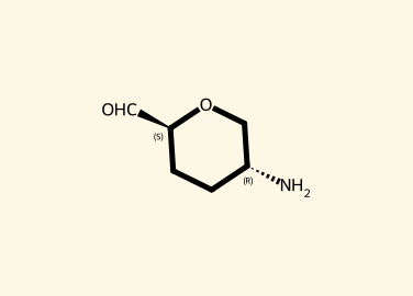 N[C@@H]1CC[C@@H](C=O)OC1